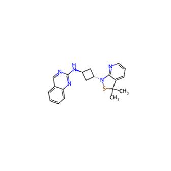 CC1(C)SN([C@H]2C[C@H](Nc3ncc4ccccc4n3)C2)c2ncccc21